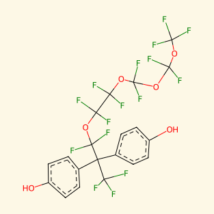 Oc1ccc(C(c2ccc(O)cc2)(C(F)(F)F)C(F)(F)OC(F)(F)C(F)(F)OC(F)(F)OC(F)(F)OC(F)(F)F)cc1